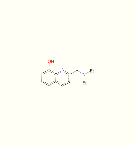 CCN(CC)Cc1ccc2cccc(O)c2n1